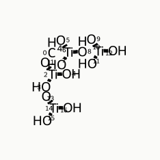 C.[O]=[Ti]([OH])[OH].[O]=[Ti]([OH])[OH].[O]=[Ti]([OH])[OH].[O]=[Ti]([OH])[OH]